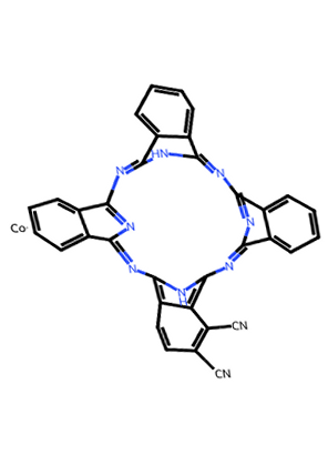 N#Cc1ccc2c3nc4nc(nc5[nH]c(nc6nc(nc([nH]3)c2c1C#N)-c1ccccc1-6)c1ccccc51)-c1ccccc1-4.[Co]